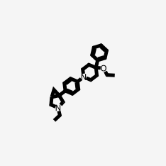 CCOC1(c2ccccc2)CCN(c2ccc(C34CC3CN(CC)C4)cc2)CC1